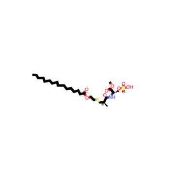 CCCCCCCCCCCCCCCC(=O)OCCSC[C@H](C)C(=O)N[C@@H](COS(=O)(=O)O)C(=O)OC